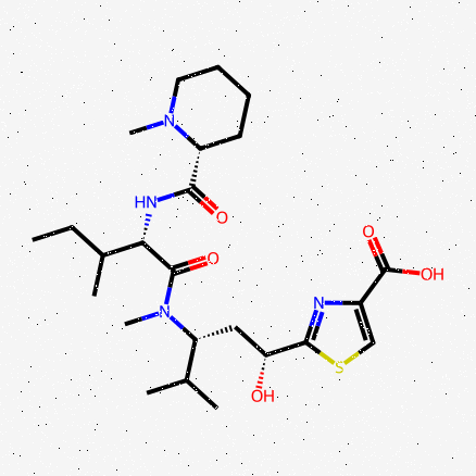 CCC(C)[C@H](NC(=O)[C@H]1CCCCN1C)C(=O)N(C)[C@H](C[C@@H](O)c1nc(C(=O)O)cs1)C(C)C